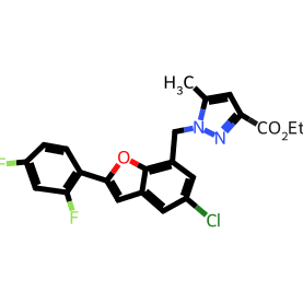 CCOC(=O)c1cc(C)n(Cc2cc(Cl)cc3cc(-c4ccc(F)cc4F)oc23)n1